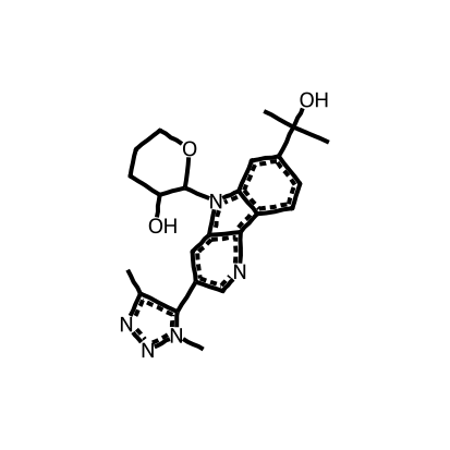 Cc1nnn(C)c1-c1cnc2c3ccc(C(C)(C)O)cc3n(C3OCCCC3O)c2c1